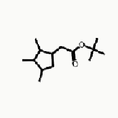 CC1CC(CC(=O)OC(C)(C)C)C(C)C1C